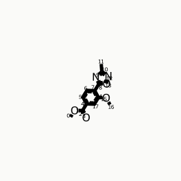 COC(=O)c1ccc(-c2nc(C)no2)c(OC)c1